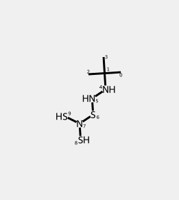 CC(C)(C)NNSN(S)S